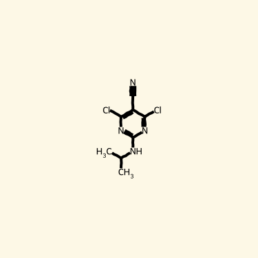 CC(C)Nc1nc(Cl)c(C#N)c(Cl)n1